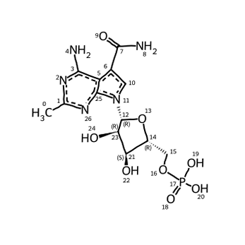 Cc1nc(N)c2c(C(N)=O)cn([C@@H]3O[C@H](COP(=O)(O)O)[C@@H](O)[C@H]3O)c2n1